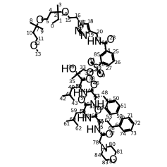 CCC(C)(CCOC(C)(C)CCOC)OCCn1cc(CNC(=O)c2cccc(S(=O)(=O)OCC(C)(O)C(=O)[C@H](CC(C)C)NC(=O)[C@H](Cc3ccccc3)NC(=O)[C@H](CC(C)C)NC(=O)[C@H](CCc3ccccc3)NC(=O)CN3CCOCC3)c2)nn1